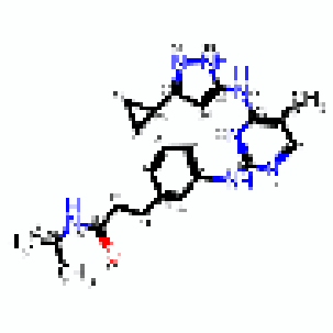 Cc1cnc(Nc2cccc(CCC(=O)NC(C)C)c2)nc1Nc1cc(C2CC2)n[nH]1